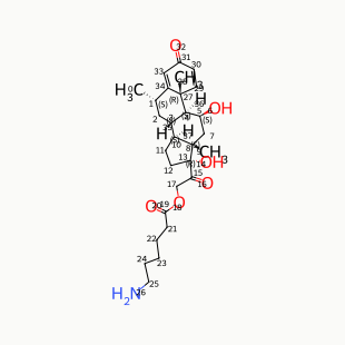 C[C@H]1C[C@@H]2[C@H]([C@@H](O)C[C@@]3(C)[C@H]2CC[C@]3(O)C(=O)COC(=O)CCCCCN)[C@@]2(C)C=CC(=O)C=C12